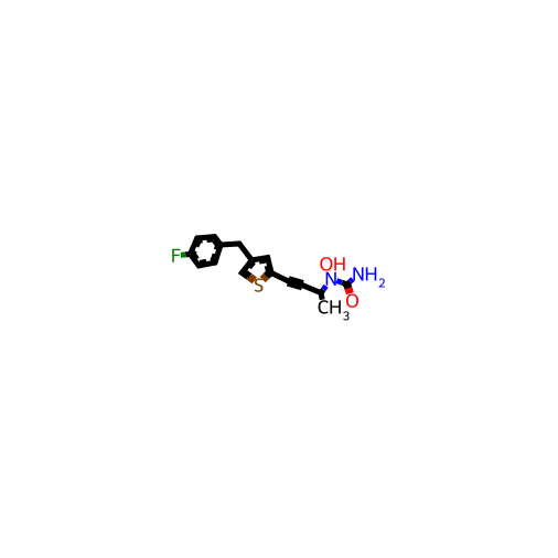 CC(C#Cc1cc(Cc2ccc(F)cc2)cs1)N(O)C(N)=O